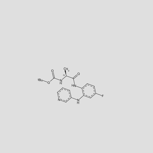 C[C@H](NC(=O)OC(C)(C)C)C(=O)Nc1ccc(F)cc1Nc1cccnc1